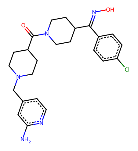 Nc1cc(CN2CCC(C(=O)N3CCC(/C(=N/O)c4ccc(Cl)cc4)CC3)CC2)ccn1